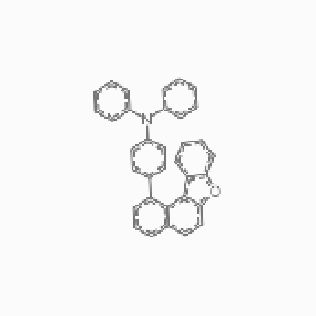 c1ccc(N(c2ccccc2)c2ccc(-c3cccc4ccc5oc6ccccc6c5c34)cc2)cc1